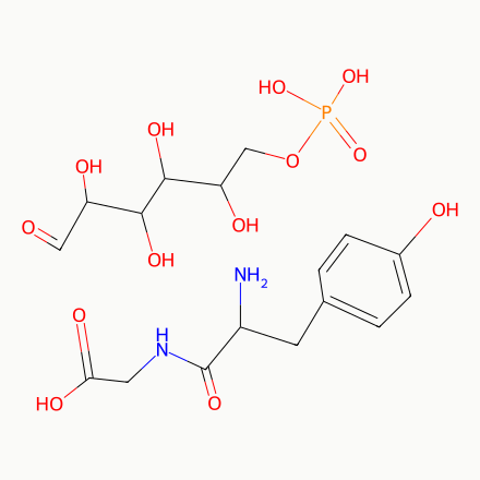 NC(Cc1ccc(O)cc1)C(=O)NCC(=O)O.O=CC(O)C(O)C(O)C(O)COP(=O)(O)O